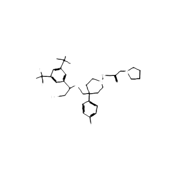 O=C(CN1CCCC1)NN1CCC(COC(CO)c2cc(C(F)(F)F)cc(C(F)(F)F)c2)(c2ccc(F)cc2)CC1